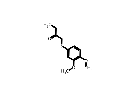 CCC(=O)CSc1ccc(OC)c(OC)c1